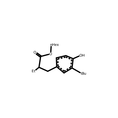 CCCCCCOC(=O)C(CC)Cc1ccc(O)c(C(C)(C)C)c1